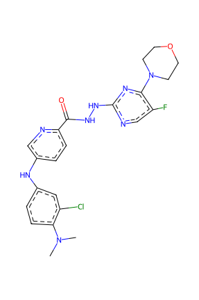 CN(C)c1ccc(Nc2ccc(C(=O)NNc3ncc(F)c(N4CCOCC4)n3)nc2)cc1Cl